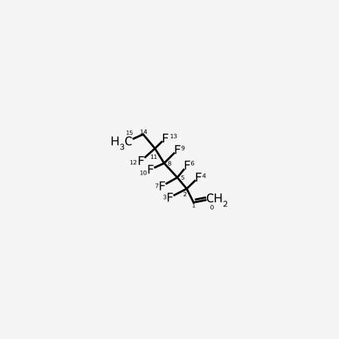 C=CC(F)(F)C(F)(F)C(F)(F)C(F)(F)CC